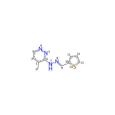 Cc1ccnnc1NN=Cc1cccs1